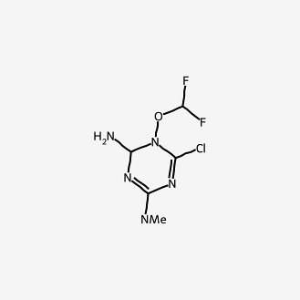 CNC1=NC(N)N(OC(F)F)C(Cl)=N1